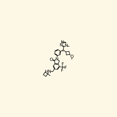 COC1CC([C@@H](c2cccc(N3Cc4c(cc(CNC5(C)CCC5)cc4C(F)(F)F)C3=O)c2)c2nncn2C)C1